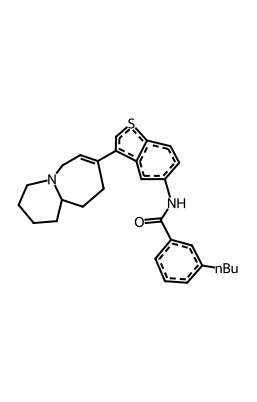 CCCCc1cccc(C(=O)Nc2ccc3scc(C4=CCN5CCCCC5CC4)c3c2)c1